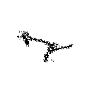 Cc1ncsc1-c1ccc(CNC(=O)[C@@H]2C[C@@H](OC(=O)CCCCCCCCCCCO)CN2C(=O)[C@@H](NC(=O)COCCOCCOCCNC(=O)C[C@@H]2N=C(c3ccc(Cl)cc3)c3c(sc(C)c3C)-n3c(C)nnc32)C(C)(C)C)cc1